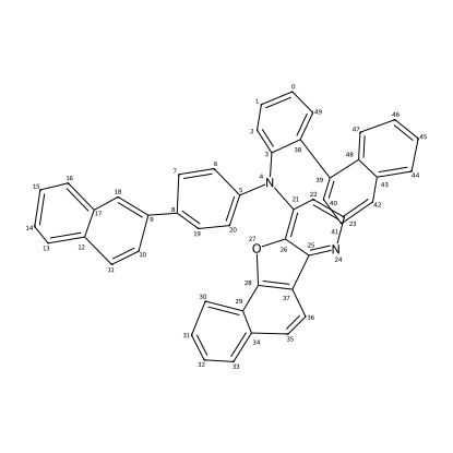 c1ccc(N(c2ccc(-c3ccc4ccccc4c3)cc2)c2ccnc3c2oc2c4ccccc4ccc32)c(-c2cccc3ccccc23)c1